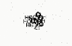 CC[C@H]1CC[C@H]2[C@@H]3CCC4CCCC[C@]4(C)[C@H]3CC[C@]12C.O=C(O)[C@H]1OC(O)[C@H](O)[C@@H](O)[C@@H]1O